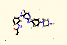 C=CC(=O)Nc1cccc(Nc2nc(Nc3ccc(N4CCN(CC)CC4)cc3F)ncc2C)c1